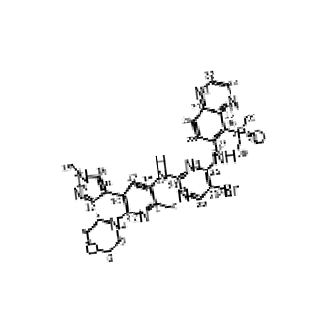 Cc1nc(N2CCOCC2)c(-c2cnn(C)c2)cc1Nc1ncc(Br)c(Nc2ccc3nccnc3c2P(C)(C)=O)n1